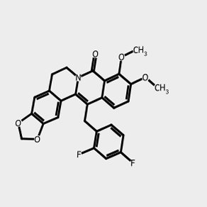 COc1ccc2c(Cc3ccc(F)cc3F)c3n(c(=O)c2c1OC)CCc1cc2c(cc1-3)OCO2